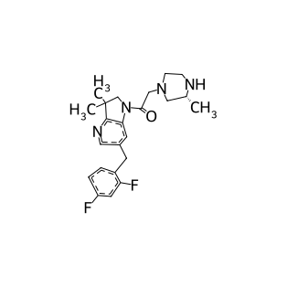 C[C@@H]1CN(CC(=O)N2CC(C)(C)c3ncc(Cc4ccc(F)cc4F)cc32)CCN1